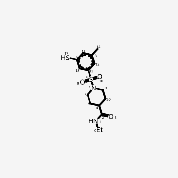 CCNC(=O)C1CCN(S(=O)(=O)c2cc(C)cc(S)c2)CC1